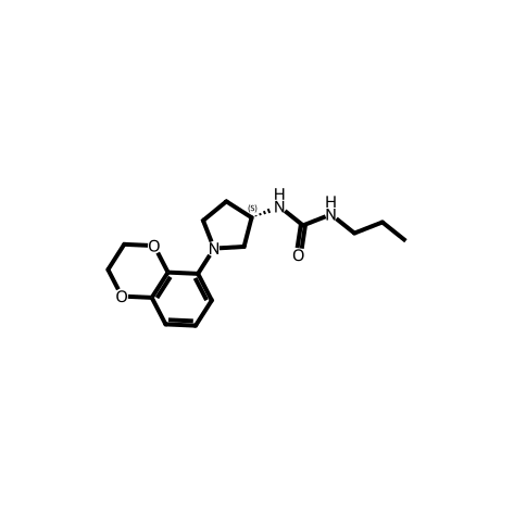 CCCNC(=O)N[C@H]1CCN(c2cccc3c2OCCO3)C1